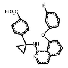 CCOC(=O)c1ccc(C2(Nc3nccc4cccc(Oc5cccc(F)c5)c34)CC2)cc1